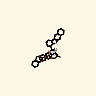 C\C1=C(c2ccc(-c3ccc4ccccc4c3)cc2)/N=C(c2cccc3c2sc2cc4ccccc4cc23)\N=C(\c2ccccc2)CC1